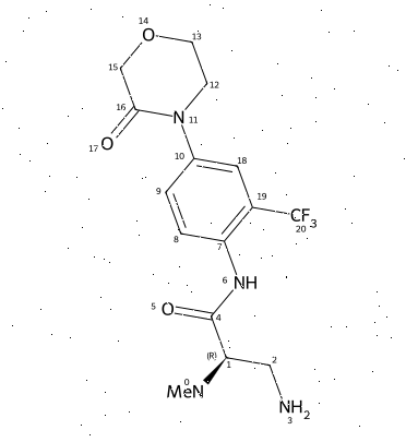 CN[C@H](CN)C(=O)Nc1ccc(N2CCOCC2=O)cc1C(F)(F)F